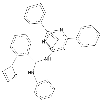 C1=CC(c2cccc(C3C=CO3)c2C(Nc2ccccc2)Nc2nc(-c3ccccc3)nc(-c3ccccc3)n2)O1